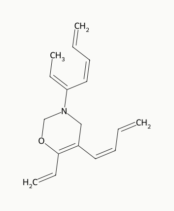 C=C/C=C\C1=C(C=C)OCN(C(/C=C\C=C)=C/C)C1